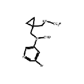 O=CN(CC1(CNC(=O)O)CC1)c1cncc(Br)c1